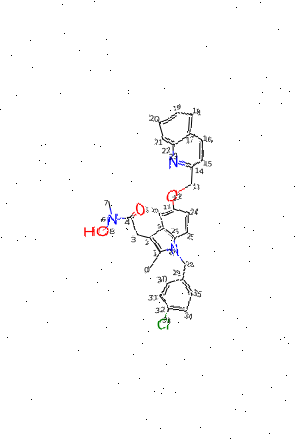 Cc1c(CC(=O)N(C)O)c2cc(OCc3ccc4ccccc4n3)ccc2n1Cc1ccc(Cl)cc1